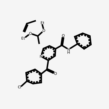 C=CC.CCOC(C)OCC.O=C(Nc1ccccc1)c1ccnc(C(=O)c2ccc(Cl)cc2)c1